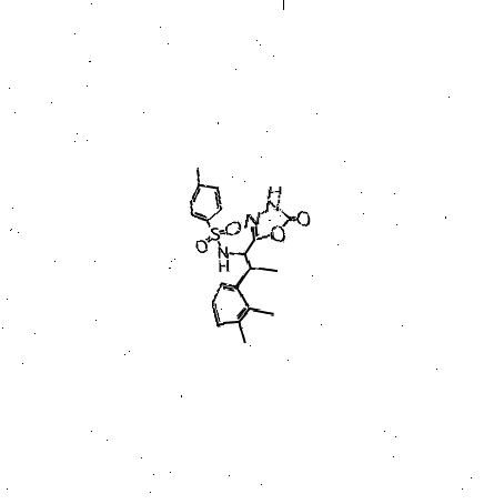 Cc1ccc(S(=O)(=O)NC(c2n[nH]c(=O)o2)C(C)c2cccc(C)c2C)cc1